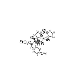 CCOC(=O)[C@H](Cc1ccc(O)cc1)NC(=O)C1(NC(=O)[C@@H](SC(=O)C2CCCC2)C(C)C)CCCC1